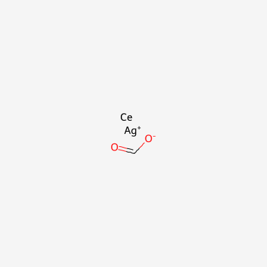 O=C[O-].[Ag+].[Ce]